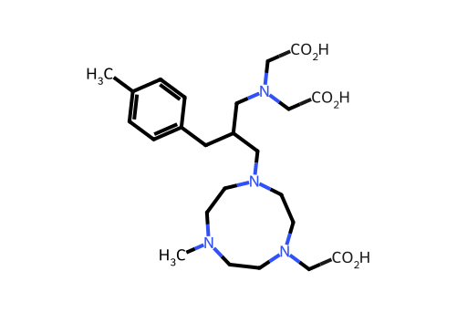 Cc1ccc(CC(CN2CCN(C)CCN(CC(=O)O)CC2)CN(CC(=O)O)CC(=O)O)cc1